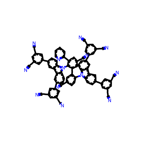 N#Cc1cc(C#N)cc(-c2ccc3c(c2)c2cc(-c4cc(C#N)cc(C#N)c4)ccc2n3-c2ccc(C#N)cc2-c2cc(C#N)cc(-c3ccccn3)c2-n2c3ccc(-c4cc(C#N)cc(C#N)c4)cc3c3cc(-c4cc(C#N)cc(C#N)c4)ccc32)c1